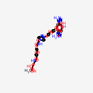 CP(=O)(O)OCC(O)COCCCNC(=O)OCc1ccc(OC(=O)c2ccc(OCC(=O)NCCC(=O)N3Cc4ccccc4-c4c(nnn4CCOc4ccc(C(=O)Oc5ccc(CS[P@]6(=O)OC[C@H]7O[C@@H](n8cnc9c(N)ncnc98)[C@H](O)[C@@H]7OPOC[C@H]7O[C@@H](n8cnc9c(N)ncnc98)[C@H](O6)[C@@H]7O)cc5)cc4)-c4ccccc43)cc2)cc1